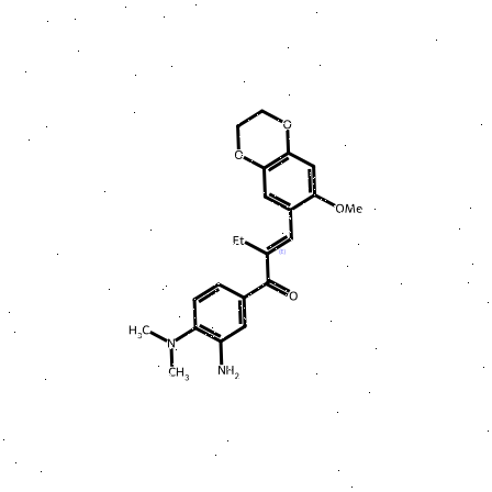 CC/C(=C\c1cc2c(cc1OC)OCCO2)C(=O)c1ccc(N(C)C)c(N)c1